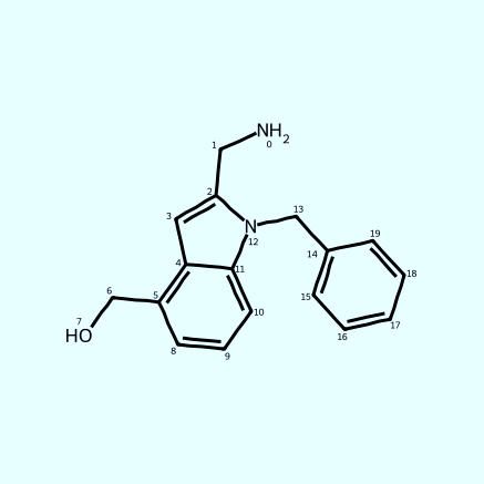 NCc1cc2c(CO)cccc2n1Cc1ccccc1